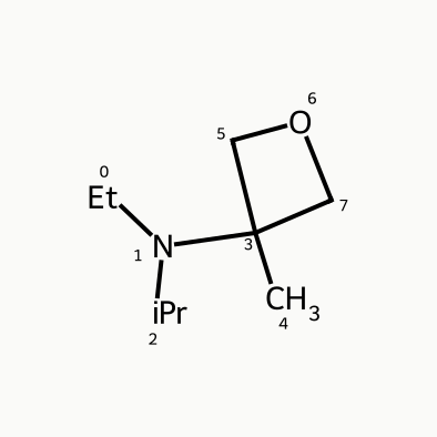 CCN(C(C)C)C1(C)COC1